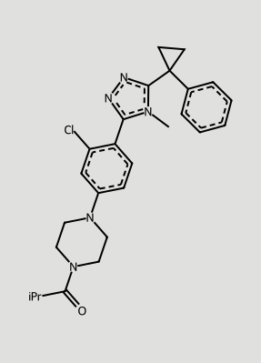 CC(C)C(=O)N1CCN(c2ccc(-c3nnc(C4(c5ccccc5)CC4)n3C)c(Cl)c2)CC1